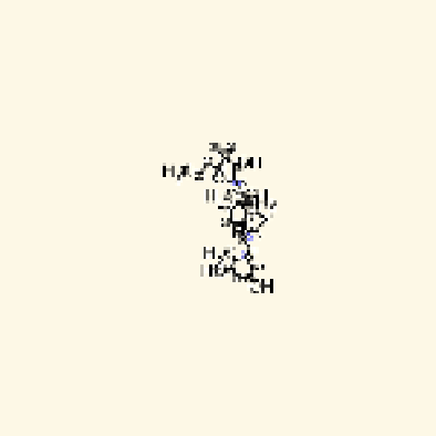 C=C1/C(=C\C=C2/CCC[C@]3(C)[C@@H](C(C)(C)/C=C/[C@@H](O)C4(C(=O)CCC)CC4)CC[C@@H]23)C[C@@H](O)C[C@@H]1O